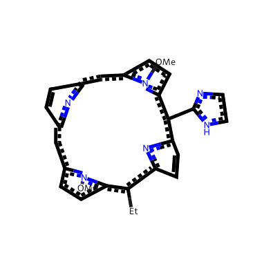 CCc1c2nc(c(-c3ncc[nH]3)c3ccc(cc4nc(cc5ccc1n5OC)C=C4)n3OC)C=C2